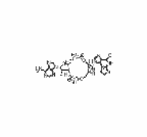 Nc1ncnc2c1ncn2[C@@H]1O[C@@H]2COP(=O)(O)O[C@@H]3[C@H](F)[C@@H](CCOP(=O)(S)O[C@H]2[C@H]1F)O[C@H]3n1cnc2c(=O)[nH]c3nccn3c21